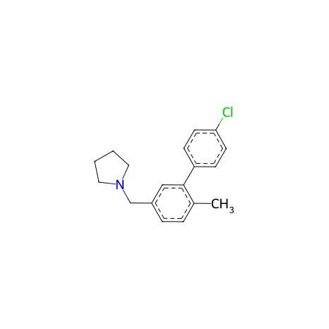 Cc1ccc(CN2CCCC2)cc1-c1ccc(Cl)cc1